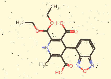 CCOC(OCC)C1=C(C(=O)O)C(c2cccc3nonc23)C(C(=O)O)=C(C)N1